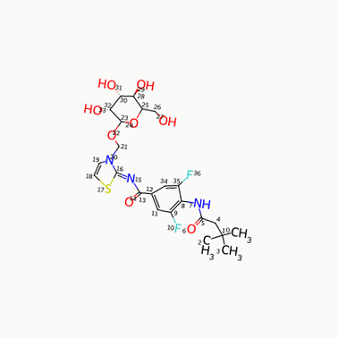 CC(C)(C)CC(=O)Nc1c(F)cc(C(=O)N=c2sccn2COC2OC(CO)[C@H](O)[C@@H](O)[C@H]2O)cc1F